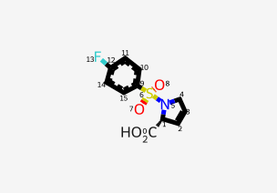 O=C(O)[C@@H]1C=CCN1S(=O)(=O)c1ccc(F)cc1